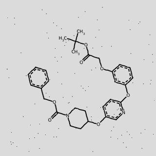 CC(C)(C)OC(=O)COc1cccc(Oc2ccc(OC3CCN(C(=O)OCc4ccccc4)CC3)cn2)c1